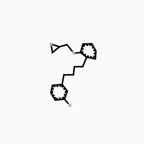 Clc1cccc(CCCCc2ccccc2OCC2CO2)c1